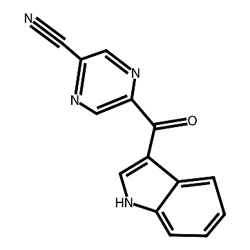 N#Cc1cnc(C(=O)c2c[nH]c3ccccc23)cn1